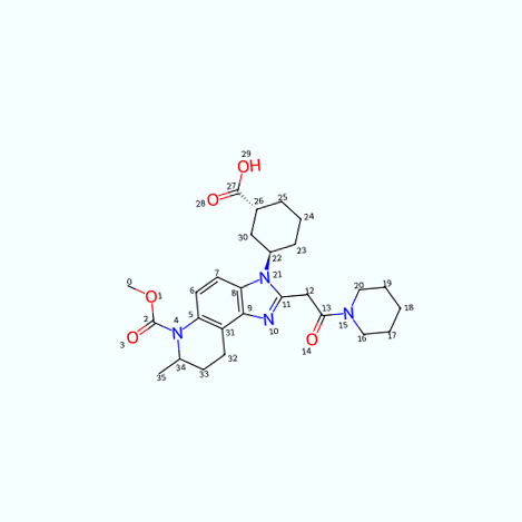 COC(=O)N1c2ccc3c(nc(CC(=O)N4CCCCC4)n3[C@@H]3CCC[C@@H](C(=O)O)C3)c2CCC1C